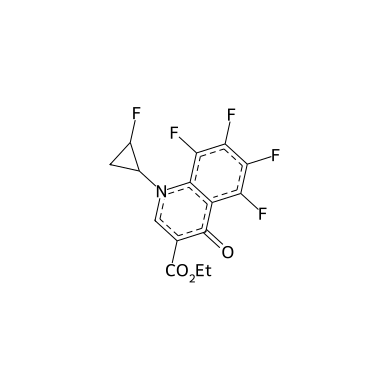 CCOC(=O)c1cn(C2CC2F)c2c(F)c(F)c(F)c(F)c2c1=O